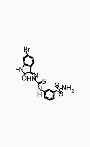 CN1C(=O)C(=NNC(=S)Nc2cccc(S(N)(=O)=O)c2)c2ccc(Br)cc21